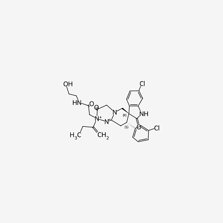 C=C(CC)[N+]1(CC(=O)NCCO)N=C2C[C@@H](c3cccc(Cl)c3)[C@@]3(CN2CC1=O)C(=O)Nc1cc(Cl)ccc13